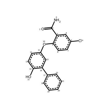 NC(=O)c1cc(Cl)ccc1Oc1ccc(O)c(-c2ccccc2)c1